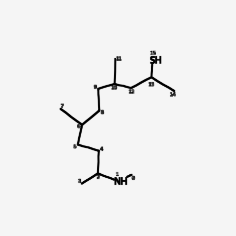 CNC(C)CCC(C)CCC(C)CC(C)S